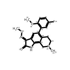 CO/N=C1/C(=O)Nc2c1cc(-c1cc(F)ccc1OC)c1c2CN(C)CC1